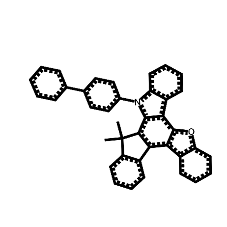 CC1(C)c2ccccc2-c2c1c1c(c3ccccc3n1-c1ccc(-c3ccccc3)cc1)c1oc3ccccc3c21